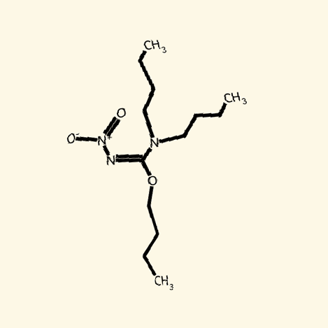 CCCCOC(=N[N+](=O)[O-])N(CCCC)CCCC